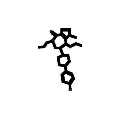 CCCN1CC(N2CCN(c3ccc(Cl)cc3)CC2)C(OCC)c2c(ccn2C)C1=O